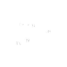 O=C(O)N1CCC(O)CC1c1ccc(Br)nc1